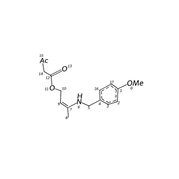 COc1ccc(CN/C(C)=C\COC(=O)CC(C)=O)cc1